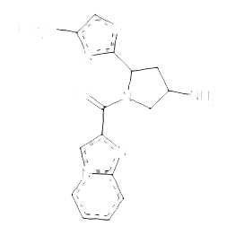 NC1CC(c2nc(C(=O)O)cs2)N(C(=O)c2cn3ccccc3n2)C1